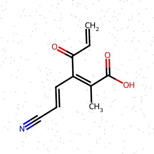 C=CC(=O)C(C=CC#N)=C(C)C(=O)O